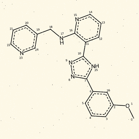 COc1cccc(-c2nnc(-c3cccnc3NCc3cccnc3)[nH]2)c1